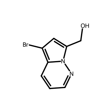 OCc1cc(Br)c2cccnn12